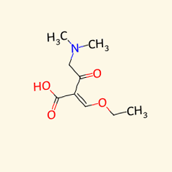 CCO/C=C(/C(=O)O)C(=O)CN(C)C